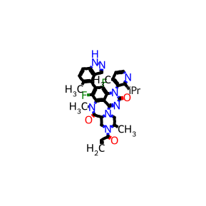 C=CC(=O)N1CC2C(=O)N(C)c3c(F)c(-c4c(C)ccc5[nH]ncc45)c(F)c4c3c(nc(=O)n4-c3c(C)ccnc3C(C)C)N2CC1C